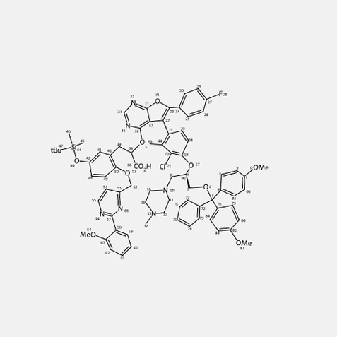 COc1ccc(C(OC[C@@H](CN2CCN(C)CC2)Oc2ccc(-c3c(-c4ccc(F)cc4)oc4ncnc(OC(Cc5cc(O[Si](C)(C)C(C)(C)C)ccc5OCc5ccnc(-c6ccccc6OC)n5)C(=O)O)c34)c(C)c2Cl)(c2ccccc2)c2ccc(OC)cc2)cc1